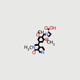 COc1cc(-c2cn(C)c(=O)c3cnccc23)cc(OC)c1CN1CC[C@H]1C(=O)O